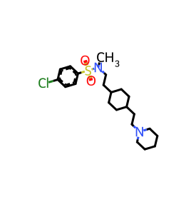 CN(CCC1CCC(CCN2CCCCC2)CC1)S(=O)(=O)c1ccc(Cl)cc1